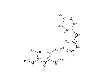 Cc1ccc(OC2=NO[C@H](c3ccc(Oc4ccccc4)cc3)C2)cc1